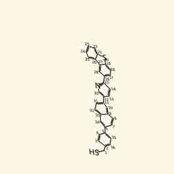 SCc1ccc(-c2ccc3cc(-c4ccc(-c5ccc6sc7ccccc7c6c5)nc4)ccc3c2)cc1